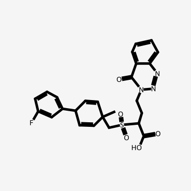 CC1(CS(=O)(=O)C(CCn2nnc3ccccc3c2=O)C(=O)O)C=CC(c2cccc(F)c2)C=C1